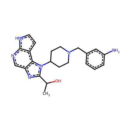 CC(O)c1nc2cnc3[nH]ccc3c2n1C1CCN(Cc2cccc(N)c2)CC1